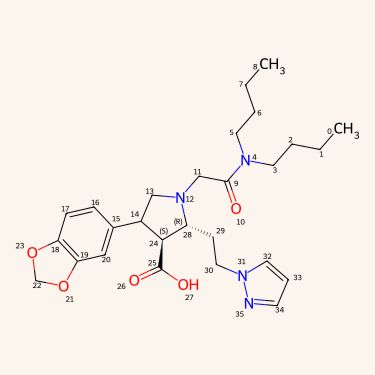 CCCCN(CCCC)C(=O)CN1CC(c2ccc3c(c2)OCO3)[C@H](C(=O)O)[C@H]1CCn1cccn1